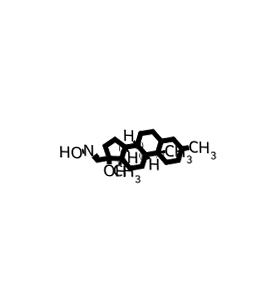 CC1CC[C@@]2(C)C(CC[C@@H]3[C@H]2CC[C@@]2(C)[C@H]3CCC2(O)C=NO)C1